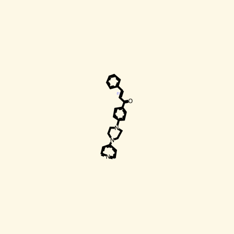 O=C(/C=C/c1ccccc1)c1ccc(N2CCN(c3ccncc3)CC2)cc1